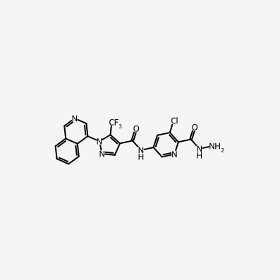 NNC(=O)c1ncc(NC(=O)c2cnn(-c3cncc4ccccc34)c2C(F)(F)F)cc1Cl